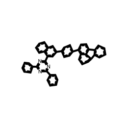 c1ccc(-c2nc(-c3ccccc3)nc(-c3cc(-c4ccc(-c5ccc6c7c(cccc57)-c5ccccc5-6)cc4)cc4ccccc34)n2)cc1